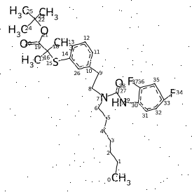 CCCCCCCN(CCc1cccc(SC(C)(C)C(=O)OC(C)(C)C)c1)C(=O)Nc1ccc(F)cc1F